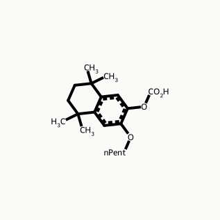 CCCCCOc1cc2c(cc1OC(=O)O)C(C)(C)CCC2(C)C